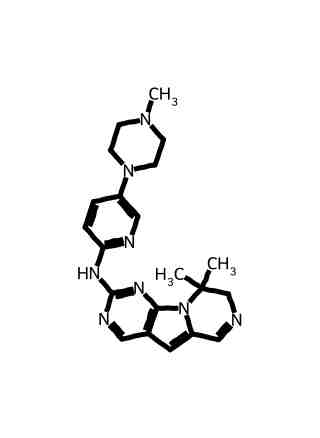 CN1CCN(c2ccc(Nc3ncc4cc5n(c4n3)C(C)(C)CN=C5)nc2)CC1